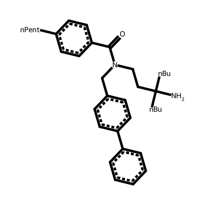 CCCCCc1ccc(C(=O)N(CCC(N)(CCCC)CCCC)Cc2ccc(-c3ccccc3)cc2)cc1